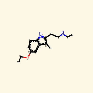 CCNCCc1[nH]c2ccc(OCC)cc2c1C